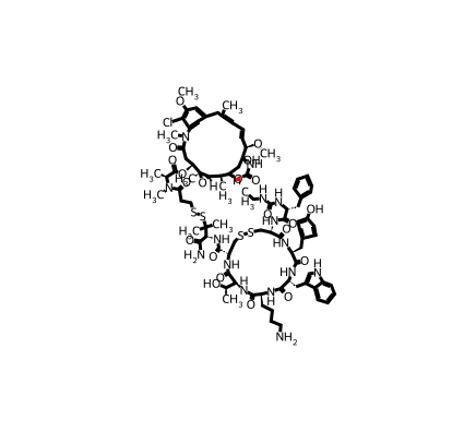 CCNC(=O)N[C@H](Cc1ccccc1)C(=O)N[C@H]1CSSC[C@@H](C(=O)N[C@H](C(N)=O)C(C)(C)SSCCC(=O)N(C)[C@@H](C)C(=O)O[C@H]2CC(=O)N(C)c3cc(cc(OC)c3Cl)C/C(C)=C/C=C/[C@@H](OC)[C@@]3(O)C[C@H](OC(=O)N3)[C@@H](C)[C@@H]3O[C@@]23C)NC(=O)[C@H]([C@@H](C)O)NC(=O)[C@H](CCCCN)NC(=O)[C@@H](Cc2c[nH]c3ccccc23)NC(=O)[C@H](Cc2ccc(O)cc2)NC1=O